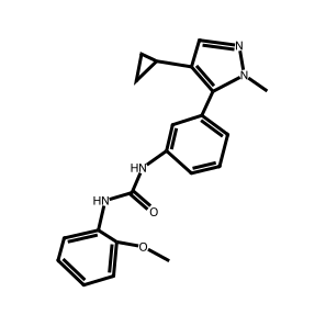 COc1ccccc1NC(=O)Nc1cccc(-c2c(C3CC3)cnn2C)c1